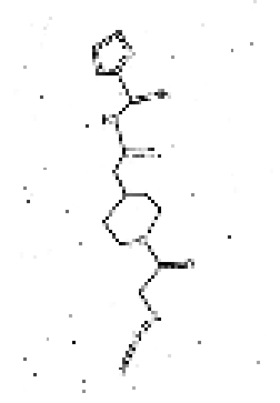 [N-]=[N+]=NCC(=O)N1CCN(CC(=O)NC(=N)c2cccs2)CC1